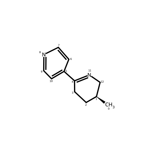 C[C@H]1CCC(c2ccncc2)=NC1